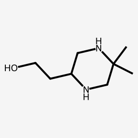 CC1(C)CNC(CCO)CN1